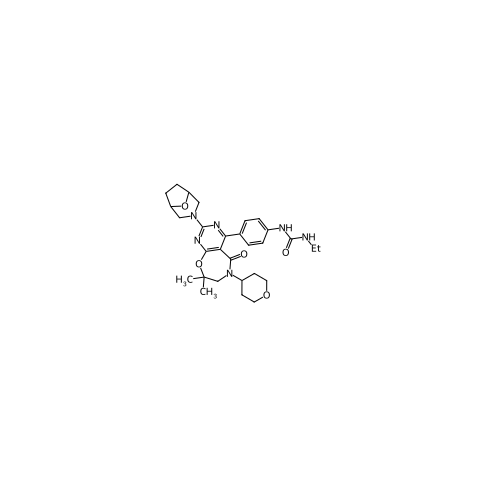 CCNC(=O)Nc1ccc(-c2nc(N3CC4CCC(C3)O4)nc3c2C(=O)N(C2CCOCC2)CC(C)(C)O3)cc1